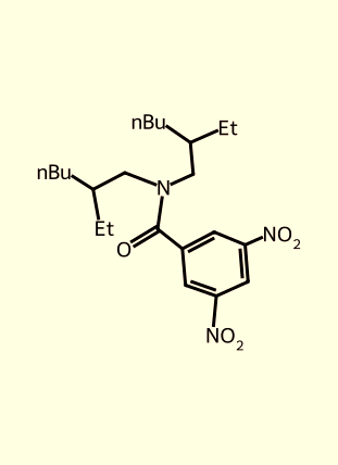 CCCCC(CC)CN(CC(CC)CCCC)C(=O)c1cc([N+](=O)[O-])cc([N+](=O)[O-])c1